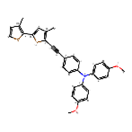 COc1ccc(N(c2ccc(C#Cc3sc(-c4sccc4C)cc3C)cc2)c2ccc(OC)cc2)cc1